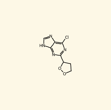 Clc1nc(C2CCOO2)nc2[nH]cnc12